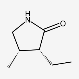 CC[C@H]1C(=O)NC[C@H]1C